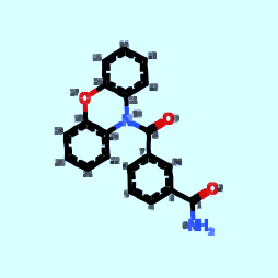 NC(=O)c1cccc(C(=O)N2c3ccccc3Oc3ccccc32)c1